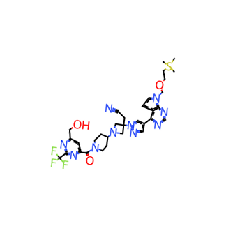 CS(C)(C)CCOCn1ccc2c(-c3cnn(C4(CC#N)CN(C5CCN(C(=O)c6cc(CO)nc(C(F)(F)F)n6)CC5)C4)c3)ncnc21